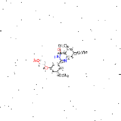 COc1cc(OCCO)cc(-c2nc3cc(OC)cc(OC)c3c(=O)[nH]2)c1